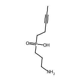 CC#CCCP(=O)(O)CCCN